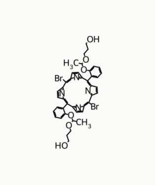 CC(OCCCO)Oc1ccccc1C1=C2C=CC(=N2)C(Br)=C2C=CC(=N2)C(c2ccccc2OC(C)OCCCO)=C2C=CC(=N2)C(Br)=C2C=CC1=N2